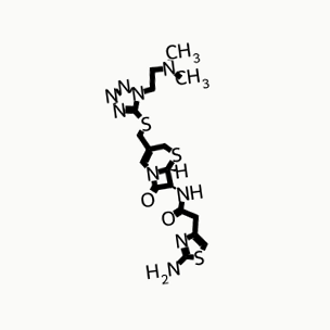 CN(C)CCn1nnnc1SCC1=CN2C(=O)[C@@H](NC(=O)Cc3csc(N)n3)[C@@H]2SC1